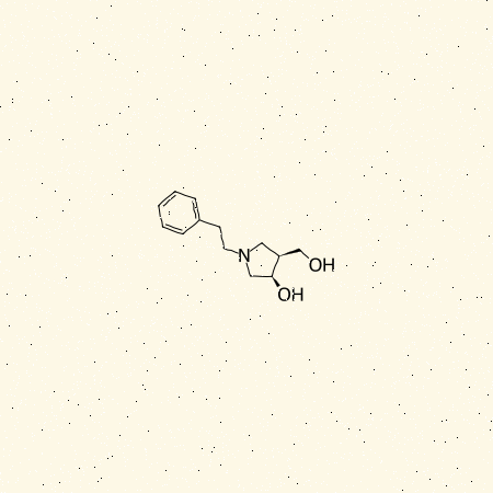 OC[C@@H]1CN(CCc2ccccc2)C[C@@H]1O